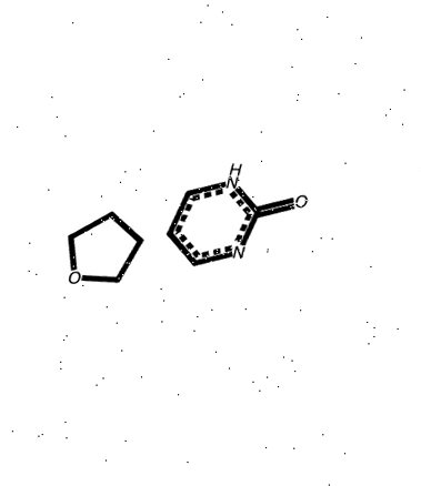 C1CCOC1.O=c1nccc[nH]1